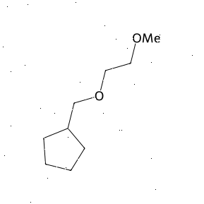 COCCOCC1CCCC1